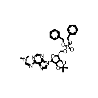 CN(C)/C=N\c1ncnc2c1ncn2[C@@H]1O[C@H](COP(=O)(OCc2ccccc2)OCc2ccccc2)C2OC(C)(C)OC21